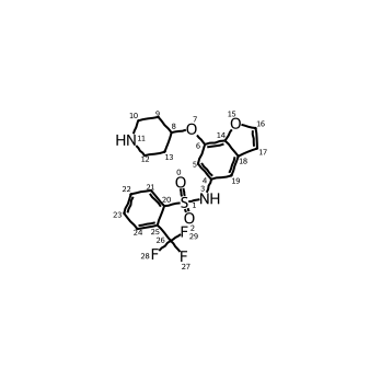 O=S(=O)(Nc1cc(OC2CCNCC2)c2occc2c1)c1ccccc1C(F)(F)F